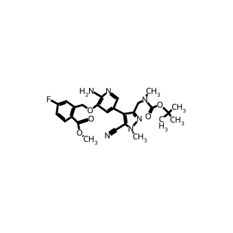 COC(=O)c1ccc(F)cc1COc1cc(-c2c(CN(C)C(=O)OC(C)(C)C)nn(C)c2C#N)cnc1N